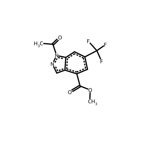 COC(=O)c1cc(C(F)(F)F)cc2c1cnn2C(C)=O